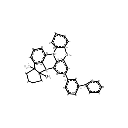 CC12CCCCC1(C)N1c3cc(-c4cccc(-c5ccccc5)c4)cc4c3B(c3ccccc3O4)c3cccc2c31